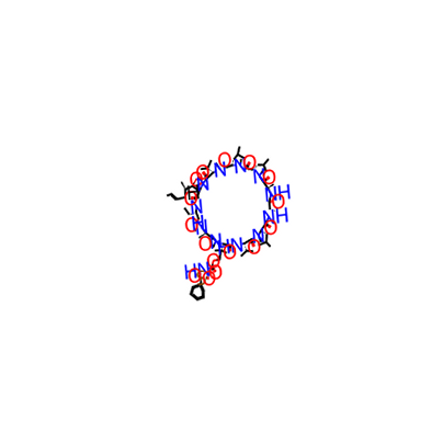 C/C=C/C[C@@H](C)[C@H]1ON2C(=O)[C@H](C(C)C)N(C)C(=O)[C@H](CC(C)C)N(C)C(=O)[C@H](CC(C)C)N(C)C(=O)[C@@H](C)NC(=O)[C@H](C)NC(=O)[C@H](CC(C)C)N(C)C(=O)[C@H](C(C)C)NC(=O)[C@H](C(C)(C)COC(=O)NS(=O)(=O)c3ccccc3)N(C)C(=O)[C@@H](C)N(C)C(=O)[C@H](CC)NC(=O)[C@H]12